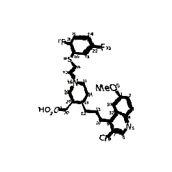 COc1ccc2ncc(Cl)c(CCC[C@@H]3CCN(CCSc4cc(F)ccc4F)C[C@@H]3CC(=O)O)c2c1